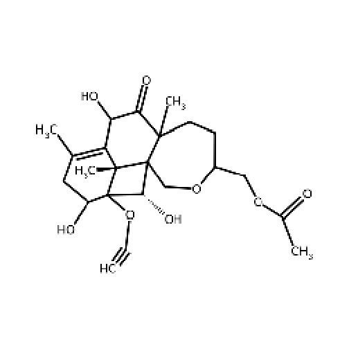 C#COC12C(O)CC(C)=C3C(O)C(=O)C4(C)CCC(COC(C)=O)OCC4([C@@H]1O)[C@@]32C